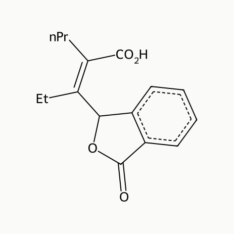 CCCC(C(=O)O)=C(CC)C1OC(=O)c2ccccc21